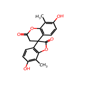 Cc1c(O)ccc2c1OC(=O)CC21C(=O)Oc2c1ccc(O)c2C